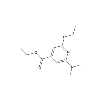 CCOC(=O)c1cc(OCC)nc(N(C)C)c1